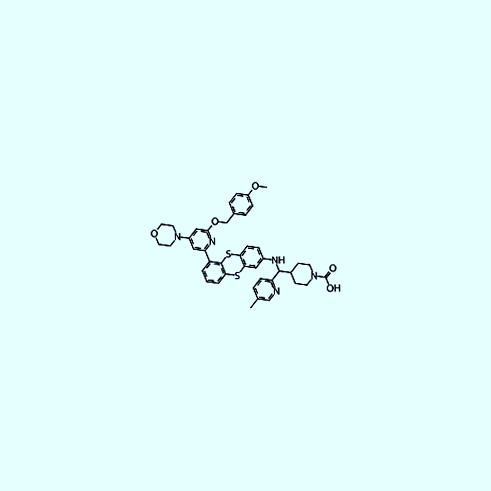 COc1ccc(COc2cc(N3CCOCC3)cc(-c3cccc4c3Sc3ccc(NC(c5ccc(C)cn5)C5CCN(C(=O)O)CC5)cc3S4)n2)cc1